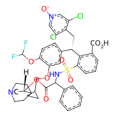 O=C(O)c1cccc(S(=O)(=O)NC(C(=O)O[C@H]2CN3CCC2CC3)c2ccccc2)c1[C@@H](Cc1c(Cl)c[n+]([O-])cc1Cl)c1ccc(OC(F)F)c(OCC2CC2)c1